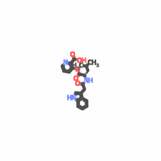 CC(C)C[C@H](NC(=O)Cc1c[nH]c2ccccc12)C(=O)Oc1cccnc1C(=O)O